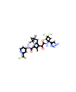 Cc1c(C(=O)C(=O)NC2(c3c[nH]nn3)CC(F)(F)C2)c2n(c1C(=O)Nc1ccnc(C(F)F)c1)[C@@H]1C[C@@H]1C2